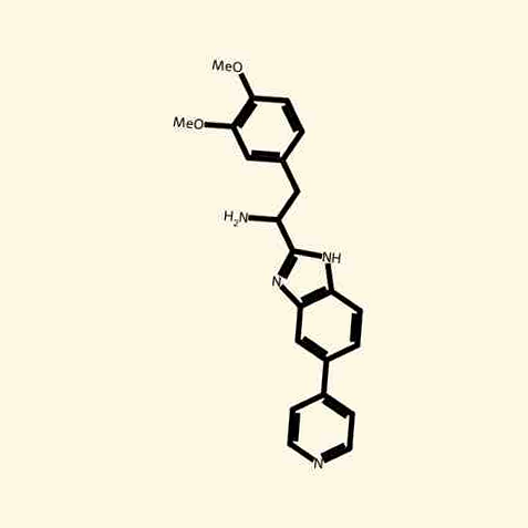 COc1ccc(CC(N)c2nc3cc(-c4ccncc4)ccc3[nH]2)cc1OC